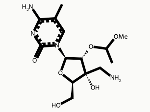 COC(C)O[C@H]1[C@H](n2cc(C)c(N)nc2=O)O[C@H](CO)[C@]1(O)CN